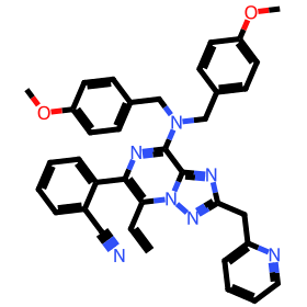 C=Cc1c(-c2ccccc2C#N)nc(N(Cc2ccc(OC)cc2)Cc2ccc(OC)cc2)c2nc(Cc3ccccn3)nn12